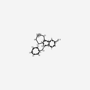 Fc1ccc2c(c1)c1c(n2Cc2ccccc2)CCCNC1